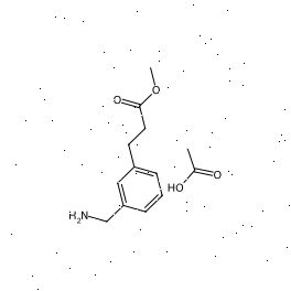 CC(=O)O.COC(=O)CCc1cccc(CN)c1